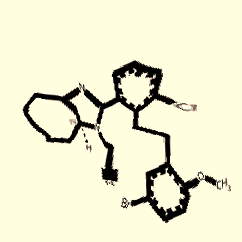 COc1ccc(Br)cc1CCc1c(Cl)cccc1C1=NC2CCCC[C@@H]2N1CC#N